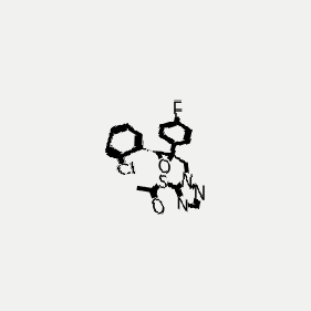 CC(=O)Sc1ncnn1C[C@@]1(c2ccc(F)cc2)O[C@@H]1c1ccccc1Cl